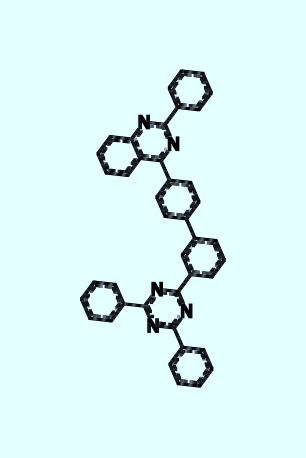 c1ccc(-c2nc(-c3ccccc3)nc(-c3cccc(-c4ccc(-c5nc(-c6ccccc6)nc6ccccc56)cc4)c3)n2)cc1